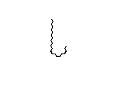 CC/C=C\C/C=C\C/C=C\CCCCCCCCCCCC